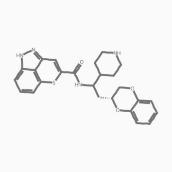 O=C(NC(C[C@@H]1COc2ccccc2O1)C1CCNCC1)C1=Cc2n[nH]c3cccc(c23)S1